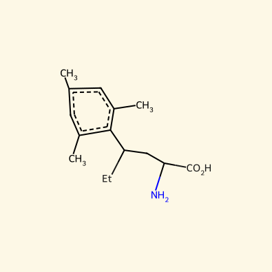 CCC(CC(N)C(=O)O)c1c(C)cc(C)cc1C